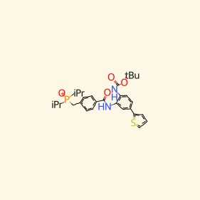 CC(C)P(=O)(Cc1ccc(C(=O)Nc2cc(-c3cccs3)ccc2NC(=O)OC(C)(C)C)cc1)C(C)C